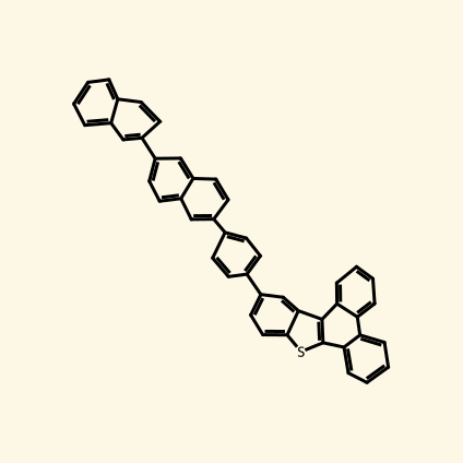 c1ccc2cc(-c3ccc4cc(-c5ccc(-c6ccc7sc8c9ccccc9c9ccccc9c8c7c6)cc5)ccc4c3)ccc2c1